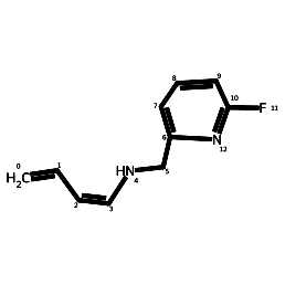 C=C/C=C\NCc1cccc(F)n1